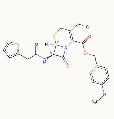 COc1ccc(COC(=O)C2=C(CCl)CS[C@@H]3[C@H](NC(=O)Cc4cccs4)C(=O)N23)cc1